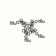 CC(CC(C(C)OC(=O)OOC(=O)c1ccc(C(C)(C)C)cc1)C(CC(C)OC(=O)OOC(=O)c1ccc(C(C)(C)C)cc1)C(C)OC(=O)OOC(=O)c1ccc(C(C)(C)C)cc1)OC(=O)OOC(=O)c1ccc(C(C)(C)C)cc1